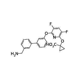 NCc1cccc(-c2cccc(Oc3nc(OC4(C(=O)O)CC4)c(F)cc3F)c2)c1